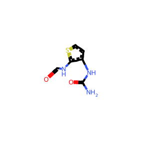 NC(=O)Nc1ccsc1NC=O